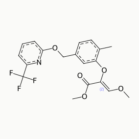 CO/C=C(\Oc1cc(COc2cccc(C(F)(F)F)n2)ccc1C)C(=O)OC